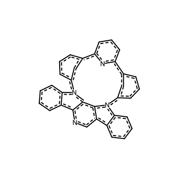 c1cc2nc(c1)c1cccc(c1)n1c3ccccc3c3ncc4c5ccccc5n(c5cccc2c5)c4c31